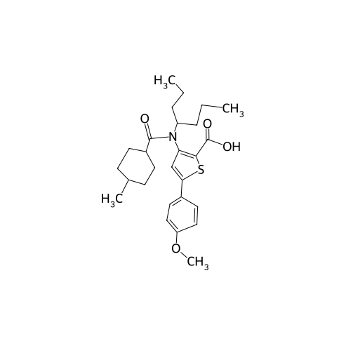 CCCC(CCC)N(C(=O)C1CCC(C)CC1)c1cc(-c2ccc(OC)cc2)sc1C(=O)O